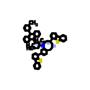 C#C/C=C(\C=C(/C)c1c2ccccc2c(-c2cccc(C)c2)c2ccccc12)N1c2cc(-c3cccc4c3sc3ccccc34)ccc2C/C=C\C(c2cccc3c2sc2ccccc23)=C/[C@@H]1C